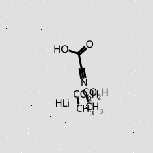 CC(=O)O.CC(=O)O.N#CC(=O)O.[LiH]